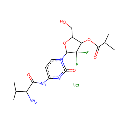 CC(C)C(=O)OC1C(CO)OC(n2ccc(NC(=O)C(N)C(C)C)nc2=O)C1(F)F.Cl